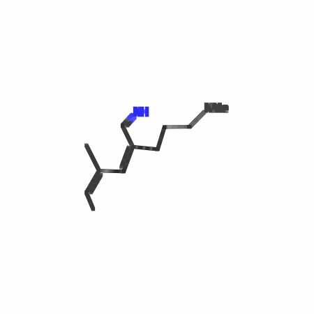 C/C=C(C)\C=C(/C=N)CCCNC